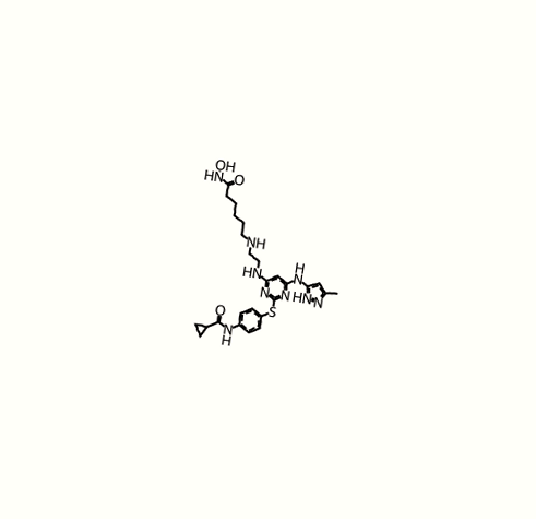 Cc1cc(Nc2cc(NCCNCCCCCC(=O)NO)nc(Sc3ccc(NC(=O)C4CC4)cc3)n2)[nH]n1